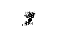 N=C(NC1CNC1)c1ccc(-c2ccc(C(F)(F)F)c(S(N)(=O)=O)c2C2N=NNN2)cc1